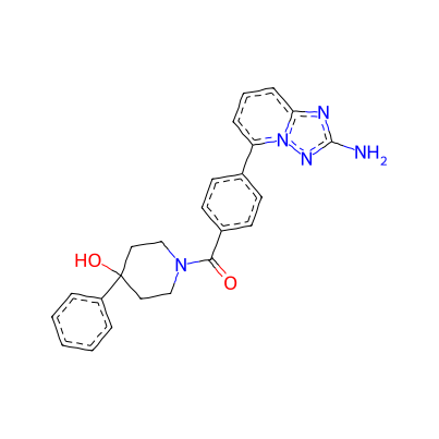 Nc1nc2cccc(-c3ccc(C(=O)N4CCC(O)(c5ccccc5)CC4)cc3)n2n1